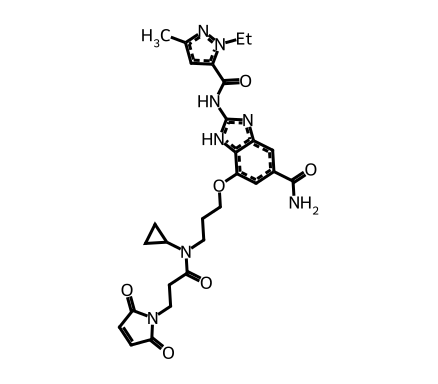 CCn1nc(C)cc1C(=O)Nc1nc2cc(C(N)=O)cc(OCCCN(C(=O)CCN3C(=O)C=CC3=O)C3CC3)c2[nH]1